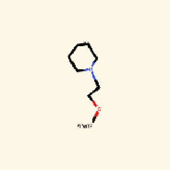 CCCC(C)OCCN1CCCCC1